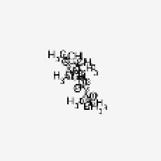 CC(C)OC1CC(C)(C)N(CCOC(=O)CCC(=O)C(C)(C)C)C(C)(C)C1